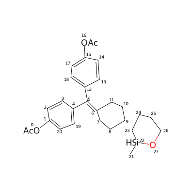 CC(=O)Oc1ccc(C(=C2CCCCC2)c2ccc(OC(C)=O)cc2)cc1.C[SiH]1CCCCO1